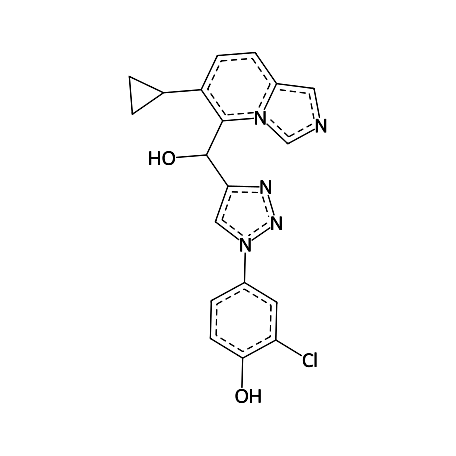 Oc1ccc(-n2cc(C(O)c3c(C4CC4)ccc4cncn34)nn2)cc1Cl